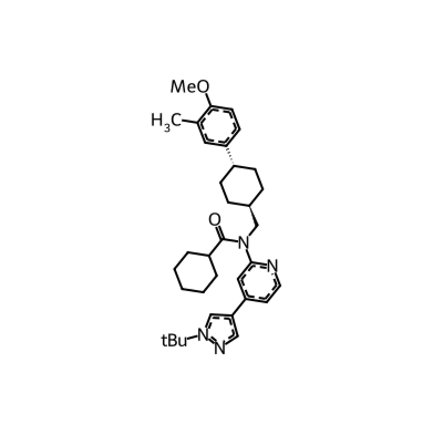 COc1ccc([C@H]2CC[C@H](CN(C(=O)C3CCCCC3)c3cc(-c4cnn(C(C)(C)C)c4)ccn3)CC2)cc1C